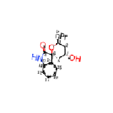 CCC[C@H]1C[C@H](O)C[C@@]2(O1)C(=O)Nc1ccccc12